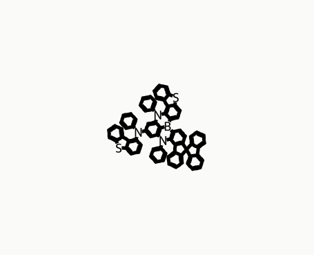 c1ccc(N2c3cc(N(c4ccccc4)c4cccc5sc6ccccc6c45)cc4c3B(c3ccc5c(c32)-c2ccccc2C52c3ccccc3-c3ccccc32)c2ccc3sc5ccccc5c3c2N4c2ccccc2)cc1